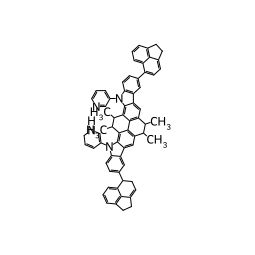 CC1c2cc3c4cc(C5CC=C6CCc7cccc5c76)ccc4n(C4=CNCC=C4)c3c3c2-c2c(cc4c5cc(-c6ccc7c8c(cccc68)CC7)ccc5n(-c5cccnc5)c4c2C(C)C3C)C1C